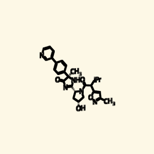 Cc1cc(C(C(=O)N2C[C@H](O)C[C@@H]2C2=NC(=O)[C@@](C)(c3ccc(-c4cccnc4)cc3)N2)C(C)C)on1